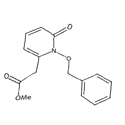 COC(=O)Cc1cccc(=O)n1OCc1ccccc1